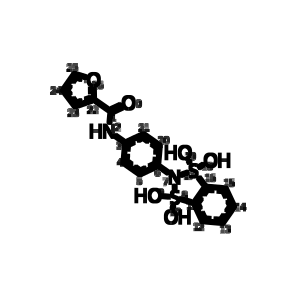 O=C(Nc1ccc(N2S(O)(O)c3ccccc3S2(O)O)cc1)c1ccco1